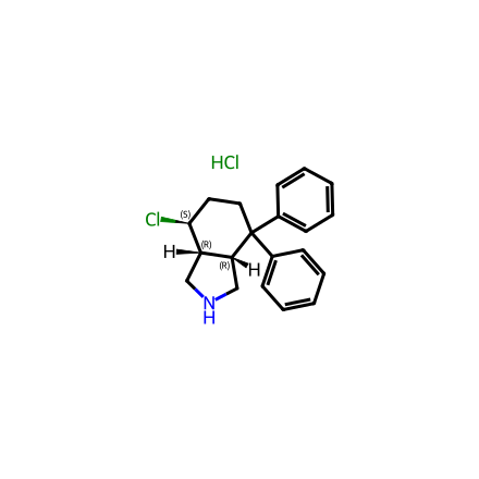 Cl.Cl[C@H]1CCC(c2ccccc2)(c2ccccc2)[C@@H]2CNC[C@@H]21